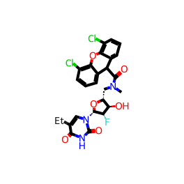 CCc1cn([C@@H]2O[C@H](CN(C)C(=O)C3c4cccc(Cl)c4Oc4c(Cl)cccc43)[C@@H](O)[C@@H]2F)c(=O)[nH]c1=O